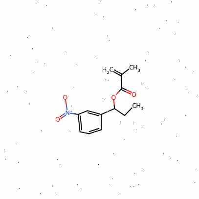 C=C(C)C(=O)OC(CC)c1cccc([N+](=O)[O-])c1